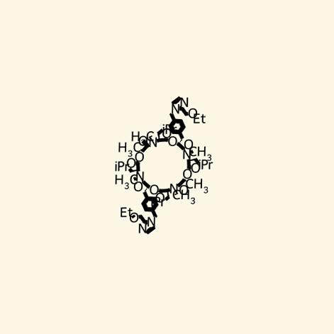 CCOCc1nccn1Cc1ccc(C[C@H]2OC(=O)[C@H](CC(C)C)N(C)C(=O)[C@@H](C)OC(=O)[C@H](CC(C)C)N(C)C(=O)[C@@H](Cc3ccc(Cn4ccnc4COCC)cc3)OC(=O)[C@H](CC(C)C)N(C)C(=O)[C@@H](C)OC(=O)[C@H](CC(C)C)N(C)C2=O)cc1